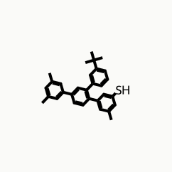 Cc1cc(C)cc(-c2ccc(-c3cc(C)cc(S)c3)c(-c3cccc(C(C)(C)C)c3)c2)c1